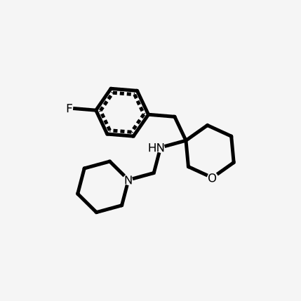 Fc1ccc(CC2(NCN3CCCCC3)CCCOC2)cc1